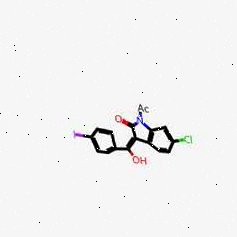 CC(=O)N1C(=O)C(=C(O)c2ccc(I)cc2)c2ccc(Cl)cc21